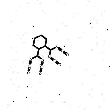 O=C=NC(N=C=O)C1CCCCC1C(N=C=O)N=C=O